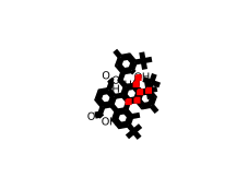 Cc1cc(Cc2c(-c3c(C(=O)O)ccc(C(=O)O)c3-c3ccc(C(C)(C)C)c(C)c3Cc3cc(C)cc(C(C)(C)C)c3O)ccc(C(C)(C)C)c2C)c(O)c(C(C)(C)C)c1